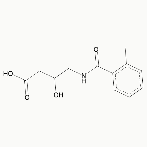 Cc1ccccc1C(=O)NCC(O)CC(=O)O